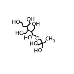 CCC(CO)(CO)COCC(O)C(CO)C(CO)C(CO)CCO